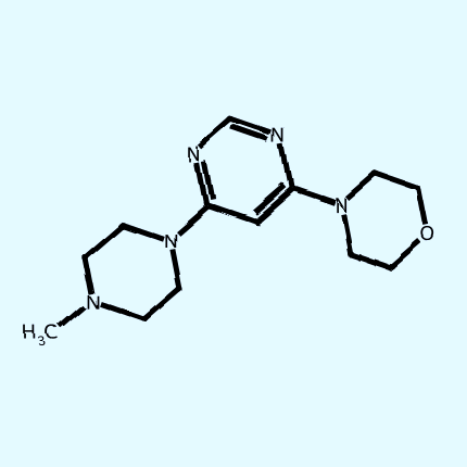 CN1CCN(c2cc(N3CCOCC3)ncn2)CC1